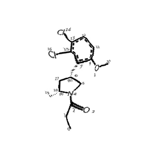 CCC(=O)N1C[C@@H](c2c(OC)ccc(Cl)c2Cl)C[C@H]1C